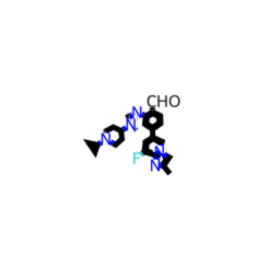 Cc1cn2cc(-c3ccc(C=O)c(/N=C\N(C)C4CCN(C5CC5)CC4)c3)cc(F)c2n1